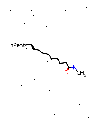 C=NC(=O)CCCCCCCC=CCCCCC